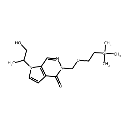 CC(CO)n1ccc2c(=O)n(COCC[Si](C)(C)C)ncc21